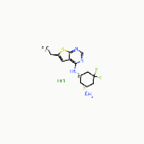 Cl.N[C@@H]1C[C@H](Nc2ncnc3sc(CC(F)(F)F)cc23)CC(F)(F)C1